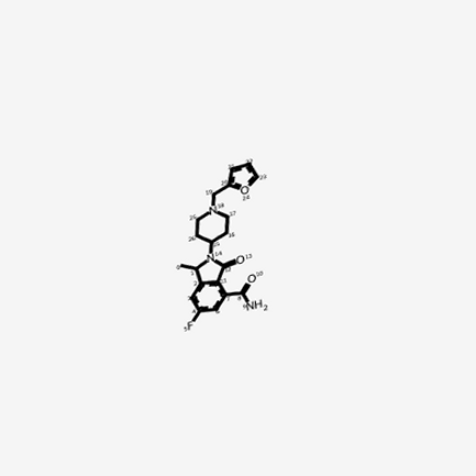 CC1c2cc(F)cc(C(N)=O)c2C(=O)N1C1CCN(Cc2ccco2)CC1